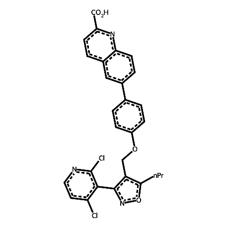 CCCc1onc(-c2c(Cl)ccnc2Cl)c1COc1ccc(-c2ccc3nc(C(=O)O)ccc3c2)cc1